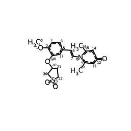 COc1ccc(C=Cn2c(C)cc(=O)cc2C)cc1OC1CCS(=O)(=O)C1